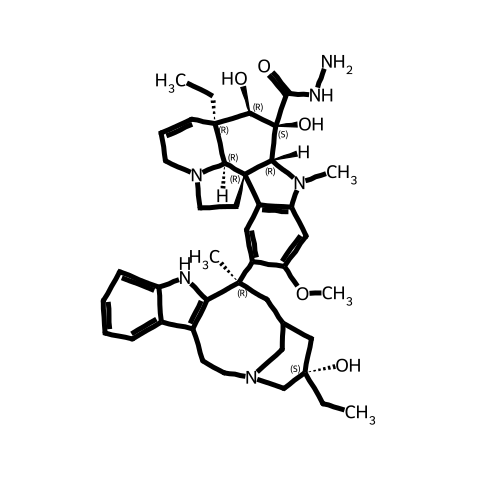 CC[C@]1(O)CC2CN(CCc3c([nH]c4ccccc34)[C@@](C)(c3cc4c(cc3OC)N(C)[C@H]3[C@@](O)(C(=O)NN)[C@H](O)[C@]5(CC)C=CCN6CC[C@]43[C@@H]65)C2)C1